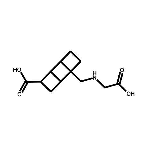 O=C(O)CNCC12C3C4C1C1C2C3C41C(=O)O